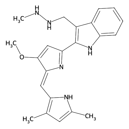 CNNCc1c(C2=N/C(=C\c3[nH]c(C)cc3C)C(OC)=C2)[nH]c2ccccc12